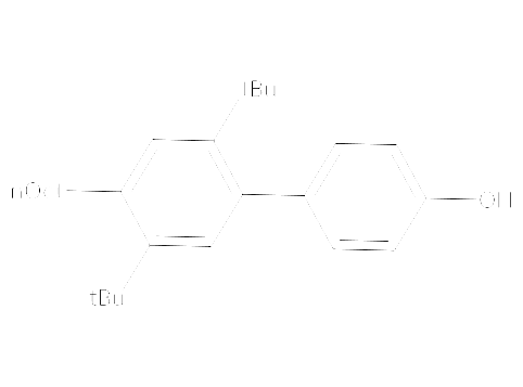 CCCCCCCCc1cc(C(C)(C)C)c(-c2ccc(O)cc2)cc1C(C)(C)C